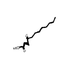 CCCCCCCCC(=O)C=CC(=O)O